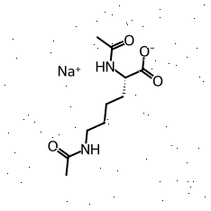 CC(=O)NCCCC[C@H](NC(C)=O)C(=O)[O-].[Na+]